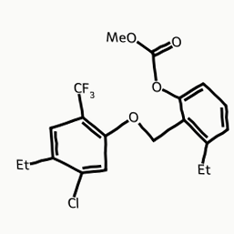 CCc1cc(C(F)(F)F)c(OCc2c(CC)cccc2OC(=O)OC)cc1Cl